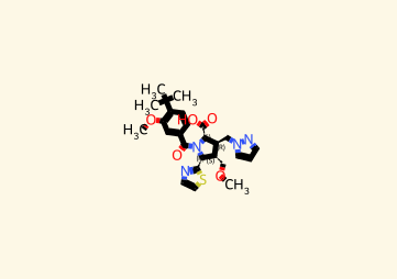 COC[C@H]1[C@H](Cn2cccn2)[C@@H](C(=O)O)N(C(=O)c2ccc(C(C)(C)C)c(OC)c2)[C@H]1c1nccs1